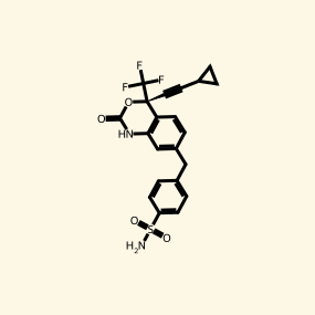 NS(=O)(=O)c1ccc(Cc2ccc3c(c2)NC(=O)O[C@]3(C#CC2CC2)C(F)(F)F)cc1